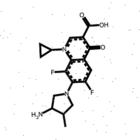 CC1CN(c2c(F)cc3c(=O)c(C(=O)O)cn(C4CC4)c3c2F)CC1N